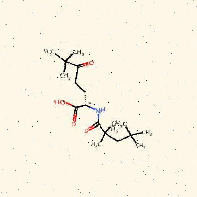 CC(C)(C)CC(C)(C)C(=O)N[C@@H](CCC(=O)C(C)(C)C)C(=O)O